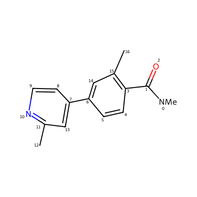 CNC(=O)c1ccc(-c2ccnc(C)c2)cc1C